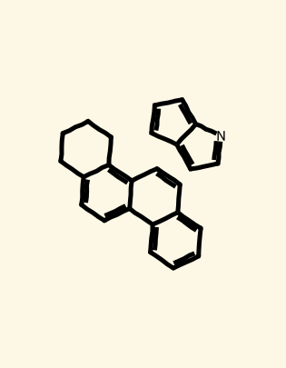 C1=CC2=CC=NC2=C1.c1ccc2c(c1)ccc1c3c(ccc12)CCCC3